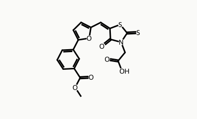 COC(=O)c1cccc(-c2ccc(C=C3SC(=S)N(CC(=O)O)C3=O)o2)c1